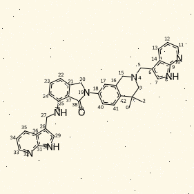 CC1(C)CN(Cc2c[nH]c3ncccc23)Cc2cc(N3Cc4cccc(NCc5c[nH]c6ncccc56)c4C3=O)ccc21